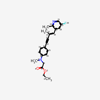 CCOC(=O)CN(C)c1ccc(C#C/C(C)=C/c2cc(F)cnc2C)cc1